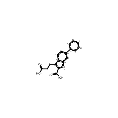 O=C(O)CCc1c(C(=O)O)[nH]c2cc(-c3ccccc3)ccc12